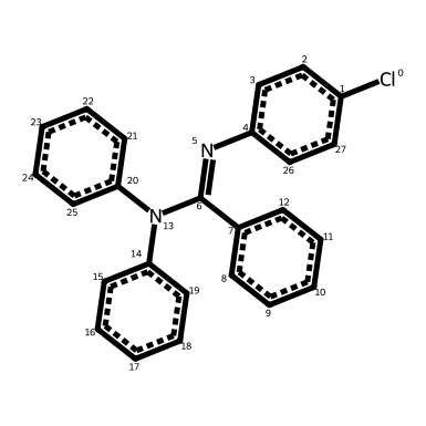 Clc1ccc(N=C(c2ccccc2)N(c2ccccc2)c2ccccc2)cc1